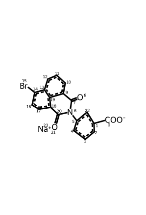 O=C([O-])c1cccc(N2C(=O)c3cccc4c(Br)ccc(c34)C2=O)c1.[Na+]